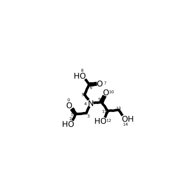 O=C(O)CN(CC(=O)O)C(=O)C(O)CO